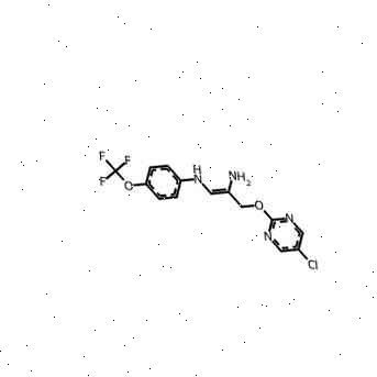 N/C(=C\Nc1ccc(OC(F)(F)F)cc1)COc1ncc(Cl)cn1